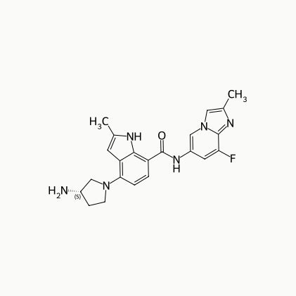 Cc1cn2cc(NC(=O)c3ccc(N4CC[C@H](N)C4)c4cc(C)[nH]c34)cc(F)c2n1